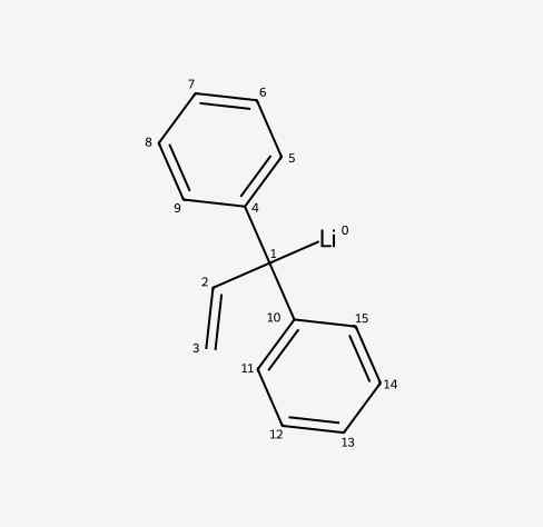 [Li][C](C=C)(c1ccccc1)c1ccccc1